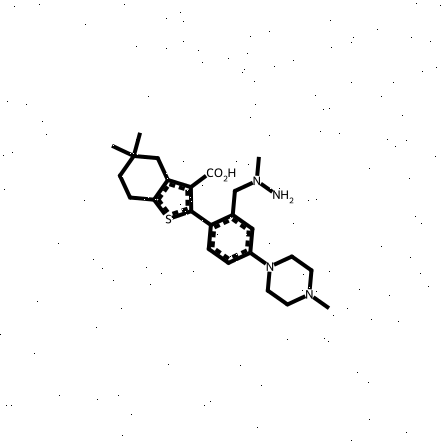 CN(N)Cc1cc(N2CCN(C)CC2)ccc1-c1sc2c(c1C(=O)O)CC(C)(C)CC2